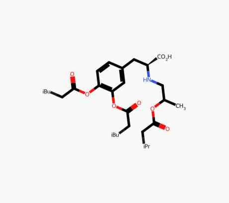 CCC(C)CC(=O)Oc1ccc(C[C@H](NCC(C)OC(=O)CC(C)C)C(=O)O)cc1OC(=O)CC(C)CC